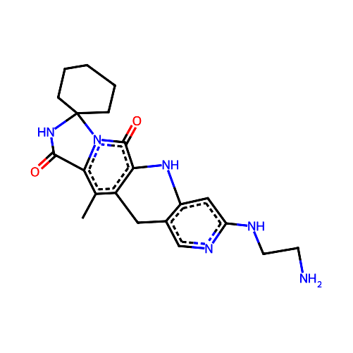 Cc1c2c(c(=O)n3c1C(=O)NC31CCCCC1)Nc1cc(NCCN)ncc1C2